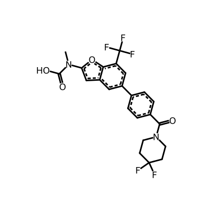 CN(C(=O)O)c1cc2cc(-c3ccc(C(=O)N4CCC(F)(F)CC4)cc3)cc(C(F)(F)F)c2o1